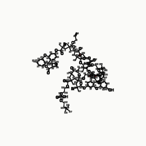 C#CCOC(=O)C(C)(CC(C)(Br)C(=O)Oc1ccc2c(c1)Oc1cc(C)ccc1C21OC(=O)c2ccccc21)CC(C)(CC(C)(C)C(=O)OCC(C)(COC(=O)C(C)(C)CC(C)(CC(C)(CC(C)(Br)C(=O)Oc1ccc2c(c1)Oc1cc(O)ccc1C21OC(=O)c2ccccc21)C(=O)OCC#C)C(=O)OCCOP(=O)(O)OCC[N+](C)(C)C)C(=O)OCCN1C(=O)C=CC1=O)C(=O)OCCOP(=O)(O)OCC[N+](C)(C)C